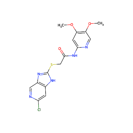 COc1cnc(NC(=O)CSc2nc3cnc(Cl)cc3[nH]2)cc1OC